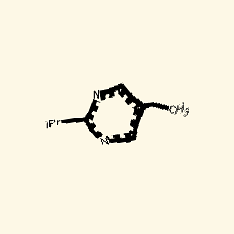 Cc1[c]nc(C(C)C)nc1